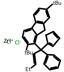 CCC=CC(C1=CC=CC1)(c1ccccc1)c1c(C(C)(C)C)ccc2c1Cc1cc(C(C)(C)C)ccc1-2.[Cl-].[Cl-].[Zr+2]